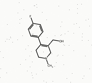 CN1CCC(c2ccc(F)cc2)=C(CO)C1